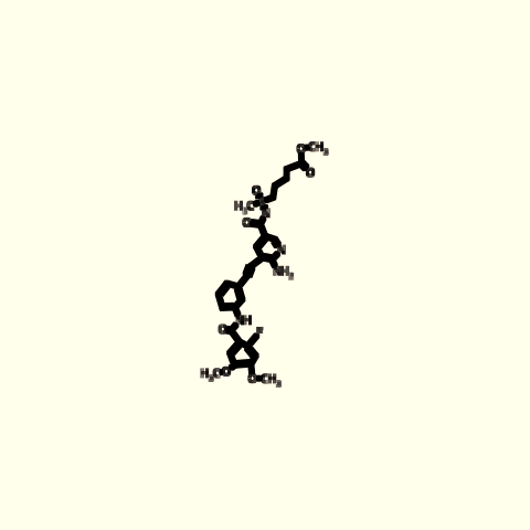 COC(=O)CCCCS(C)(=O)=NC(=O)c1cnc(N)c(C#Cc2cccc(NC(=O)c3cc(OC)c(OC)cc3F)c2)c1